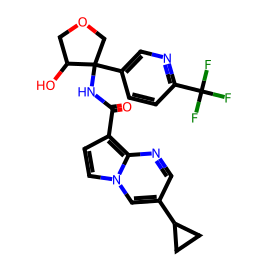 O=C(NC1(c2ccc(C(F)(F)F)nc2)COCC1O)c1ccn2cc(C3CC3)cnc12